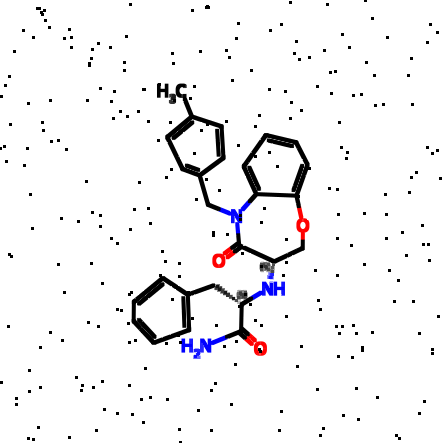 Cc1ccc(CN2C(=O)[C@@H](N[C@@H](Cc3ccccc3)C(N)=O)COc3ccccc32)cc1